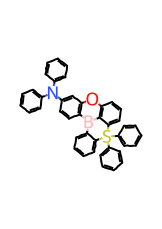 c1ccc(N(c2ccccc2)c2ccc3c(c2)Oc2cccc4c2B3c2ccccc2S4(c2ccccc2)c2ccccc2)cc1